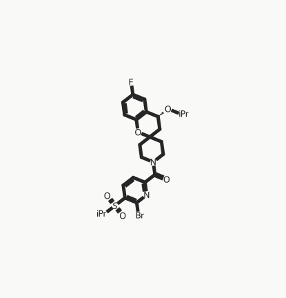 CC(C)O[C@@H]1CC2(CCN(C(=O)c3ccc(S(=O)(=O)C(C)C)c(Br)n3)CC2)Oc2ccc(F)cc21